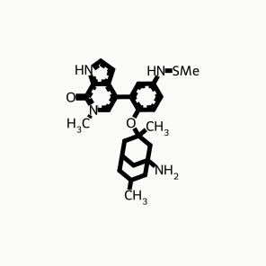 CSNc1ccc(OC2(C)CC3CC(C)CC(N)(C3)C2)c(-c2cn(C)c(=O)c3[nH]ccc23)c1